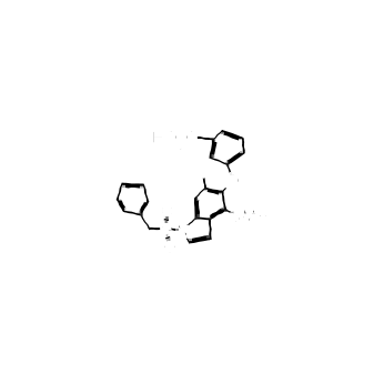 CSc1c(Oc2cccc(C(=O)O)c2)c(F)cc2c1ccn2S(=O)(=O)Cc1ccccc1